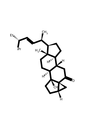 CC[C@H](C=C[C@@H](C)[C@H]1CC[C@H]2[C@@H]3CC(=O)[C@]45C[C@@H]4CC[C@]5(C)[C@H]3CC[C@]12C)C(C)C